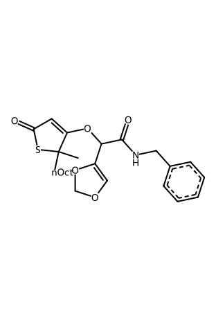 CCCCCCCCC1(C)SC(=O)C=C1OC(C(=O)NCc1ccccc1)C1=COCO1